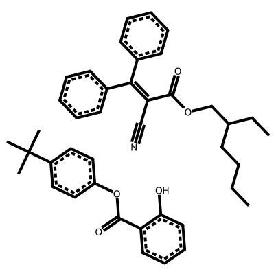 CC(C)(C)c1ccc(OC(=O)c2ccccc2O)cc1.CCCCC(CC)COC(=O)C(C#N)=C(c1ccccc1)c1ccccc1